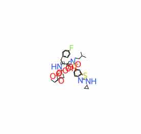 CC(C)CCN(C[C@@H](O)[C@H](Cc1ccc(F)cc1)NC(=O)OC1C2COC3OCC1C3O2)S(=O)(=O)c1ccc2nc(NC3CC3)sc2c1